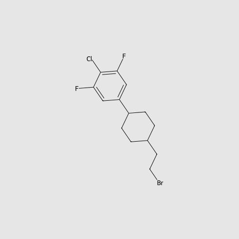 Fc1cc(C2CCC(CCBr)CC2)cc(F)c1Cl